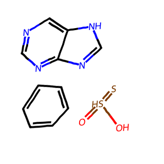 O=[SH](O)=S.c1ccccc1.c1ncc2[nH]cnc2n1